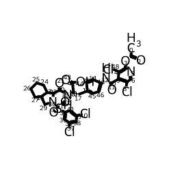 CC(=O)Oc1ncc(Cl)c(C(=O)Nc2ccc(C[C@H](NC(=O)C3C4CCCCC4CN3S(=O)(=O)c3cc(Cl)cc(Cl)c3)C(=O)O)cc2)c1Cl